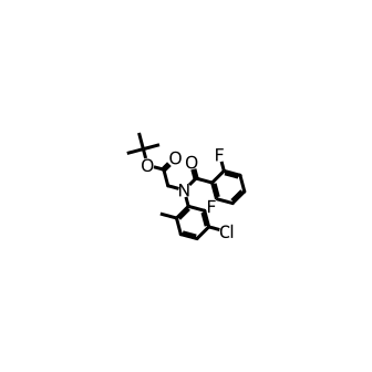 Cc1ccc(Cl)cc1N(CC(=O)OC(C)(C)C)C(=O)c1c(F)cccc1F